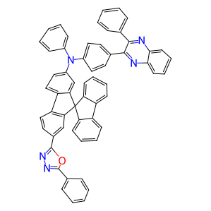 c1ccc(-c2nnc(-c3ccc4c(c3)C3(c5ccccc5-c5ccccc53)c3cc(N(c5ccccc5)c5ccc(-c6nc7ccccc7nc6-c6ccccc6)cc5)ccc3-4)o2)cc1